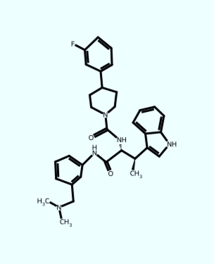 C[C@H](c1c[nH]c2ccccc12)[C@@H](NC(=O)N1CCC(c2cccc(F)c2)CC1)C(=O)Nc1cccc(CN(C)C)c1